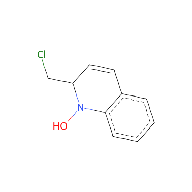 ON1c2ccccc2C=CC1CCl